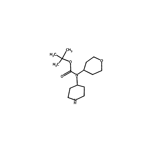 CC(C)(C)OC(=O)N(C1CCNCC1)C1CCOCC1